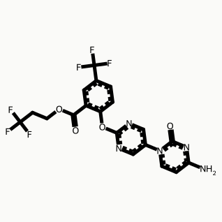 Nc1ccn(-c2cnc(Oc3ccc(C(F)(F)F)cc3C(=O)OCCC(F)(F)F)nc2)c(=O)n1